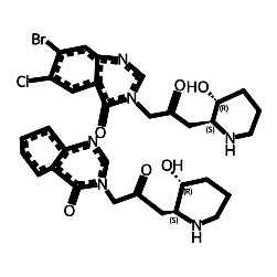 O=C(C[C@@H]1NCCC[C@H]1O)Cn1cnc2cc(Br)c(Cl)cc2c1=O.O=C(C[C@@H]1NCCC[C@H]1O)Cn1cnc2ccccc2c1=O